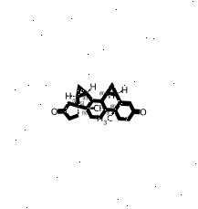 C[C@]12CCC(=O)C=C1[C@@H]1C[C@@H]1C1C2CC[C@@]2(C)C1[C@@H]1C[C@@H]1[C@@]21CCC(=O)C1